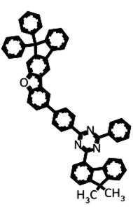 CC1(C)c2ccccc2-c2c(-c3nc(-c4ccccc4)nc(-c4ccc(-c5ccc6oc7cc8c(cc7c6c5)-c5ccccc5C8(c5ccccc5)c5ccccc5)cc4)n3)cccc21